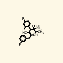 CC1NC(Cc2cccc(F)c2)=C(C#N)C(c2ccc(F)cc2Cl)C1(C)C(=O)O